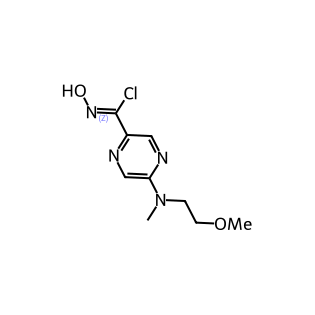 COCCN(C)c1cnc(/C(Cl)=N/O)cn1